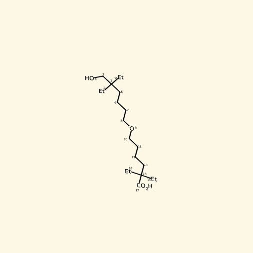 CCC(CC)(CO)CCCCOCCCCC(CC)(CC)C(=O)O